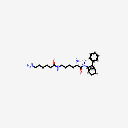 CCN(C(=O)[C@@H](N)CCCCNC(=O)CCCCCN)C1C2CCC(C2)C1c1ccccc1